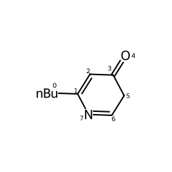 CCCCC1=CC(=O)CC=N1